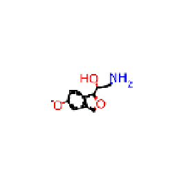 COc1ccc2c(C(O)CN)occ2c1